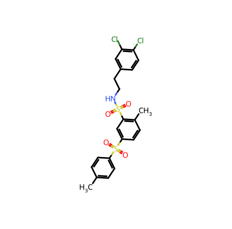 Cc1ccc(S(=O)(=O)c2ccc(C)c(S(=O)(=O)NCCc3ccc(Cl)c(Cl)c3)c2)cc1